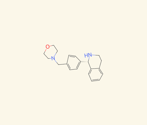 c1ccc2c(c1)CCN[C@H]2c1ccc(CN2CCOCC2)cc1